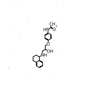 CC(=O)Nc1ccc(OCC(O)CNC2CCCc3ccccc32)cc1